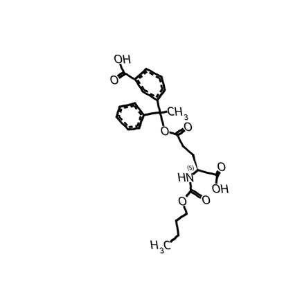 CCCCOC(=O)N[C@@H](CCC(=O)OC(C)(c1ccccc1)c1cccc(C(=O)O)c1)C(=O)O